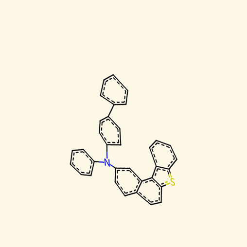 c1ccc(-c2ccc(N(c3ccccc3)c3ccc4ccc5sc6ccccc6c5c4c3)cc2)cc1